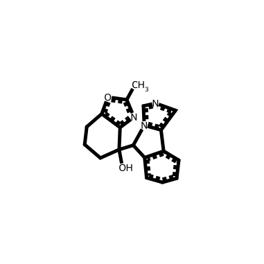 Cc1nc2c(o1)CCCC2(O)C1c2ccccc2-c2cncn21